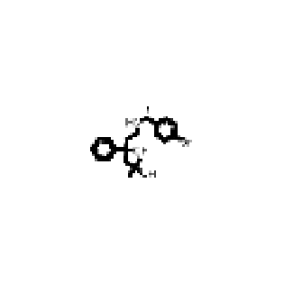 C[C@H](NCC[C@](O)(CC(C)(C)O)c1ccccc1)c1ccc(Br)cc1